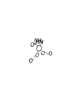 CNc1cc(OCCOC)c(OCCOC)cc1C(N)=O